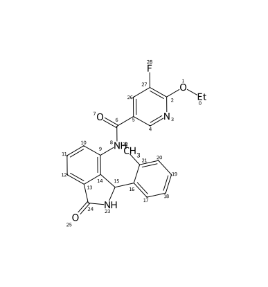 CCOc1ncc(C(=O)Nc2cccc3c2C(c2ccccc2C)NC3=O)cc1F